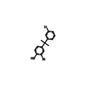 CCc1cccc(C(C)(C)c2ccc(O)c(CC)c2)c1